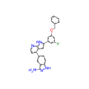 Nc1n[nH]c2ccc(-c3ccnc4[nH]c(-c5cc(F)cc(OCc6ccccc6)c5)cc34)cc12